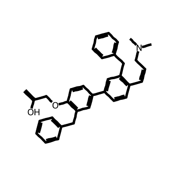 C=C(O)COc1ccc(-c2ccc(/C=C\CN(C)C)c(Cc3ccccc3)c2)cc1Cc1ccccc1